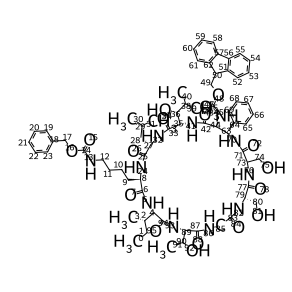 CC[C@H](C)[C@@H]1NC(=O)[C@@H](CCCCNC(=O)OCc2ccccc2)NC(=O)[C@H](CC(C)C)NC(=O)[C@H]([C@H](O)C(C)C)NC(=O)[C@@H](NC(=O)OCC2c3ccccc3-c3ccccc32)[C@@H](c2ccccc2)NC(=O)C(CO)NC(=O)[C@H](CO)NC(=O)CNC(=O)[C@H]([C@H](C)O)NC1=O